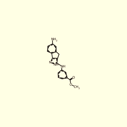 COC(=O)c1cccc(Nc2[nH]nc3c2Cc2cc(N)ccc2-3)c1